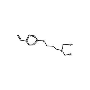 C=Cc1ccc(OCCCN(CC(C)C)CC(C)C)cc1